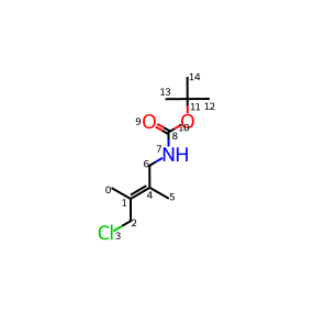 C/C(CCl)=C(/C)CNC(=O)OC(C)(C)C